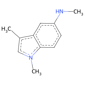 CNc1ccc2c(c1)c(C)cn2C